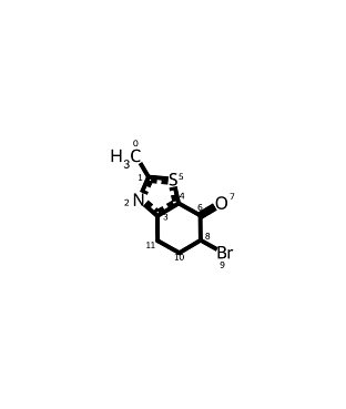 Cc1nc2c(s1)C(=O)C(Br)CC2